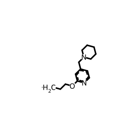 [CH2]CCOc1cc(CN2CCCCC2)ccn1